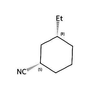 CC[C@@H]1CCC[C@H](C#N)C1